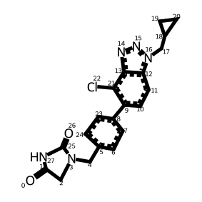 O=C1CN(Cc2ccc(-c3ccc4c(nnn4CC4CC4)c3Cl)cc2)C(=O)N1